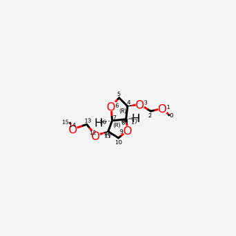 COCO[C@@H]1CO[C@H]2[C@@H]1OC[C@H]2OCOC